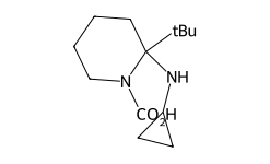 CC(C)(C)C1(NC2CC2)CCCCN1C(=O)O